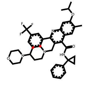 Cc1cc2c(C(=O)NC3(c4ccccc4)CC3)c(CN3CCC(N4CCOCC4)CC3)c(-c3cccc(C(F)(F)F)c3)nc2cc1OC(C)C